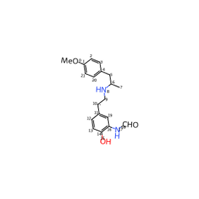 COc1ccc(CC(C)NC[CH]c2ccc(O)c(NC=O)c2)cc1